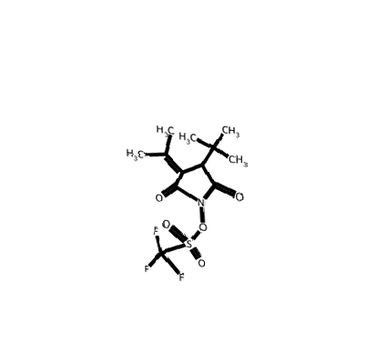 CC(C)=C1C(=O)N(OS(=O)(=O)C(F)(F)F)C(=O)C1C(C)(C)C